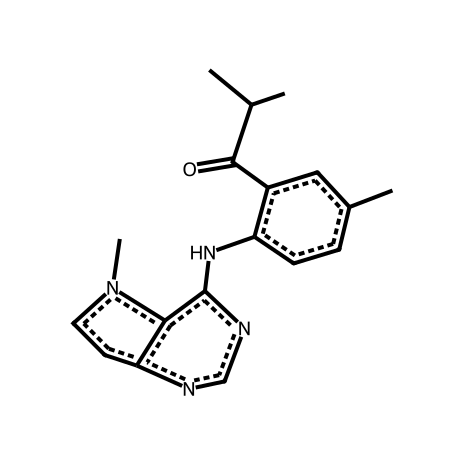 Cc1ccc(Nc2ncnc3ccn(C)c23)c(C(=O)C(C)C)c1